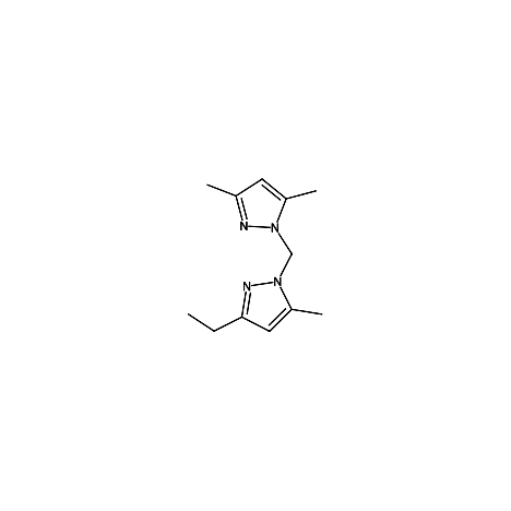 CCc1cc(C)n(Cn2nc(C)cc2C)n1